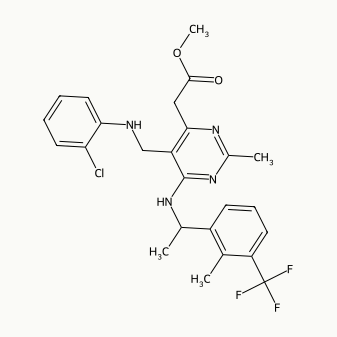 COC(=O)Cc1nc(C)nc(NC(C)c2cccc(C(F)(F)F)c2C)c1CNc1ccccc1Cl